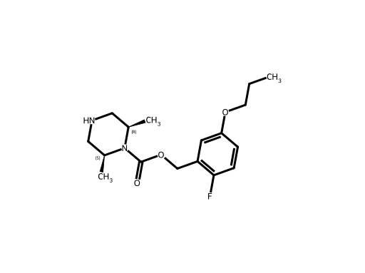 CCCOc1ccc(F)c(COC(=O)N2[C@H](C)CNC[C@@H]2C)c1